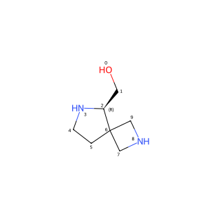 OC[C@@H]1NCCC12CNC2